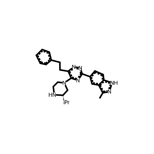 Cc1n[nH]c2ccc(-c3nnc(CCc4ccccc4)c(N4CCN[C@@H](C(C)C)C4)n3)cc12